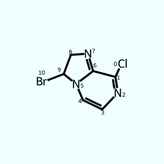 ClC1=NC=CN2C1=NCC2Br